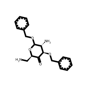 NC[C@H]1OC(OCc2ccccc2)[C@H](N)[C@@H](OCc2ccccc2)C1=O